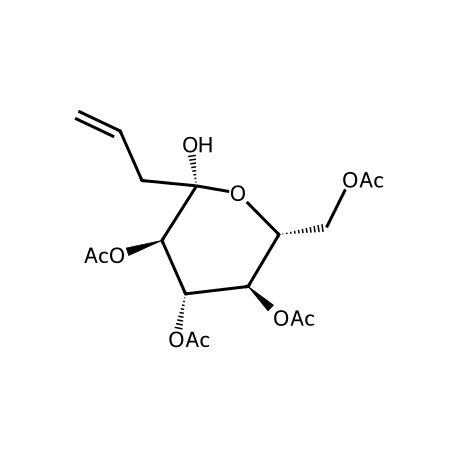 C=CC[C@@]1(O)O[C@H](COC(C)=O)[C@@H](OC(C)=O)[C@H](OC(C)=O)[C@H]1OC(C)=O